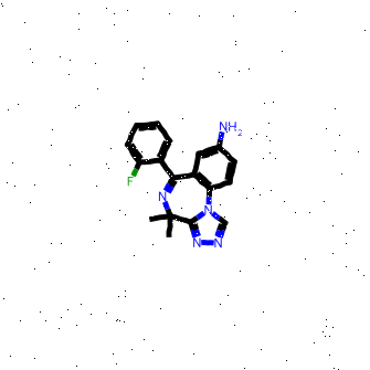 CC1(C)N=C(c2ccccc2F)c2cc(N)ccc2-n2cnnc21